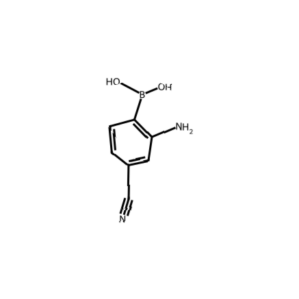 N#Cc1ccc(B(O)O)c(N)c1